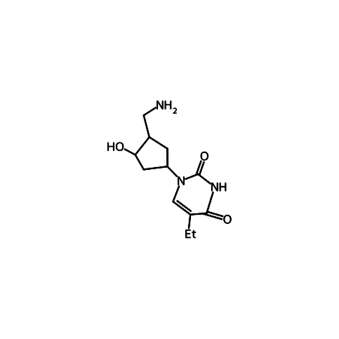 CCc1cn(C2CC(O)C(CN)C2)c(=O)[nH]c1=O